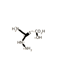 NNC(N)=S.O=C(O)O